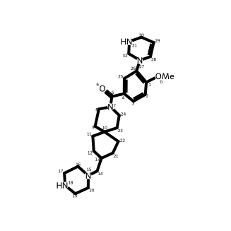 COc1ccc(C(=O)N2CCC3(CCC(CN4CCNCC4)CC3)CC2)cc1N1C=CCNC1